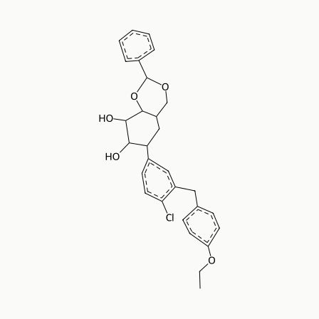 CCOc1ccc(Cc2cc(C3CC4COC(c5ccccc5)OC4C(O)C3O)ccc2Cl)cc1